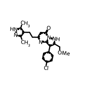 COCc1[nH]n2c(=O)cc(CCc3c(C)n[nH]c3C)nc2c1-c1ccc(Cl)cc1